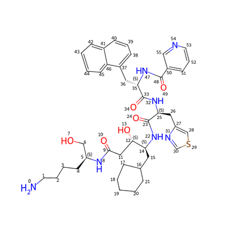 NCCCC[C@@H](CO)NC(=O)C[C@H](O)[C@H](CC1CCCCC1)NC(=O)[C@H](Cc1cscn1)NC(=O)[C@H](Cc1cccc2ccccc12)NC(=O)c1cccnc1